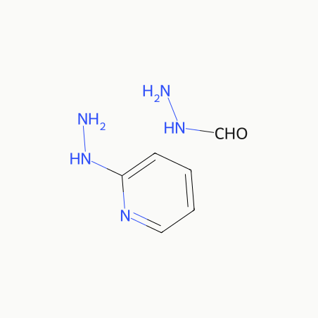 NNC=O.NNc1ccccn1